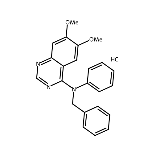 COc1cc2ncnc(N(Cc3ccccc3)c3ccccc3)c2cc1OC.Cl